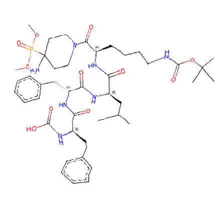 COP(=O)(OC)C1(N)CCN(C(=O)[C@@H](CCCCNC(=O)OC(C)(C)C)NC(=O)[C@@H](CC(C)C)NC(=O)[C@@H](Cc2ccccc2)NC(=O)[C@@H](Cc2ccccc2)NC(=O)O)CC1